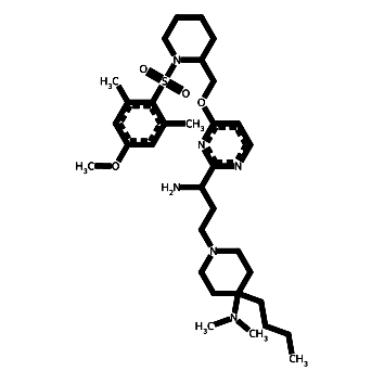 CCCCC1(N(C)C)CCN(CCC(N)c2nccc(OCC3CCCCN3S(=O)(=O)c3c(C)cc(OC)cc3C)n2)CC1